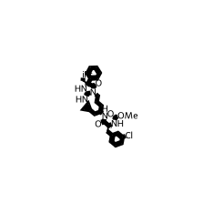 COC(=O)N[C@@H](Cc1cccc(Cl)c1)C(=O)NC(CCCN1C(=N)N[C@](CC(C)C)(c2ccccc2)C1=O)CC1CC1